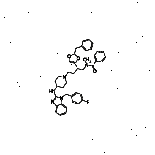 CN(CC(CCN1CCC(Nc2nc3ccccc3n2Cc2ccc(F)cc2)CC1)C1=COC(Cc2ccccc2)O1)C(=O)c1ccccc1